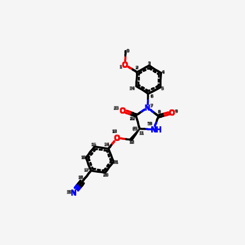 COc1cccc(N2C(=O)N[C@@H](COc3ccc(C#N)cc3)C2=O)c1